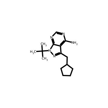 CC(C)(C)n1nc(CC2CCCC2)c2c(N)ncnc21